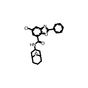 CN1C2CCCC1CC(NC(=O)c1cc(Cl)cc3nc(-c4ccccc4)oc13)C2